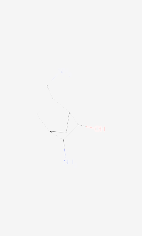 NCC1CC2CC1C(O)C2N